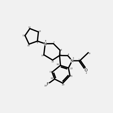 CC(=O)N1CC2(CCN(C3CCCC3)CC2)c2cc(F)ccc21